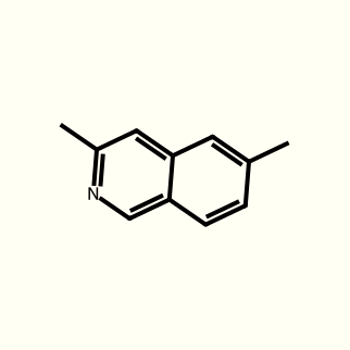 Cc1ccc2cnc(C)cc2c1